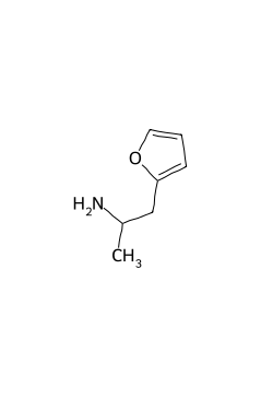 CC(N)Cc1ccco1